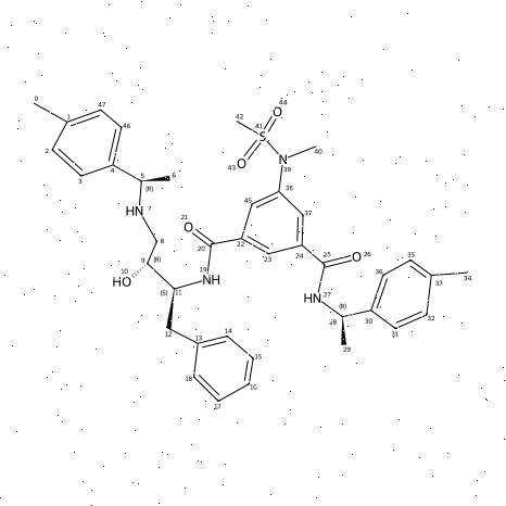 Cc1ccc([C@@H](C)NC[C@@H](O)[C@H](Cc2ccccc2)NC(=O)c2cc(C(=O)N[C@H](C)c3ccc(C)cc3)cc(N(C)S(C)(=O)=O)c2)cc1